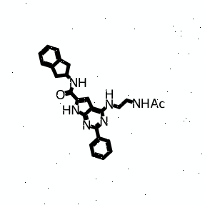 CC(=O)NCCNc1nc(-c2ccccc2)nc2[nH]c(C(=O)NC3Cc4ccccc4C3)cc12